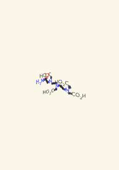 NC(=O)CN(CCN(CCN(CC(=O)O)CC(=O)O)CC(=O)O)CC(=O)O